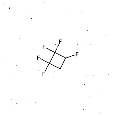 FC1CC(F)(F)C1(F)F